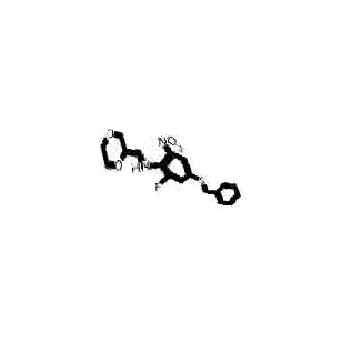 O=[N+]([O-])c1cc(SCc2ccccc2)cc(F)c1NCC1COCCO1